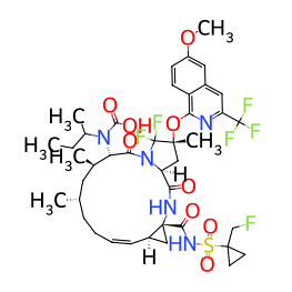 CCC(C)N(C(=O)O)[C@@H]1C(=O)N2[C@@H](C[C@@](C)(Oc3nc(C(F)(F)F)cc4cc(OC)ccc34)C2(F)F)C(=O)N[C@]2(C(=O)NS(=O)(=O)C3(CF)CC3)C[C@H]2/C=C\CC[C@H](C)C[C@H]1C